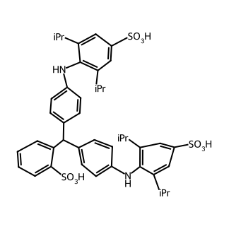 CC(C)c1cc(S(=O)(=O)O)cc(C(C)C)c1Nc1ccc(C(c2ccc(Nc3c(C(C)C)cc(S(=O)(=O)O)cc3C(C)C)cc2)c2ccccc2S(=O)(=O)O)cc1